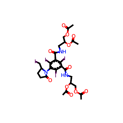 CC(=O)OCC(CNC(=O)c1c(I)c(C(=O)NCC(COC(C)=O)OC(C)=O)c(I)c(N2C(=O)CCC2CI)c1I)OC(C)=O